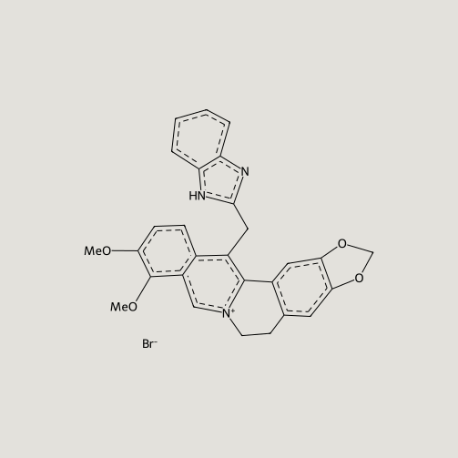 COc1ccc2c(Cc3nc4ccccc4[nH]3)c3[n+](cc2c1OC)CCc1cc2c(cc1-3)OCO2.[Br-]